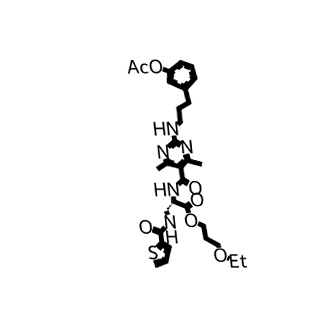 CCOCCCOC(=O)[C@H](CNC(=O)c1cccs1)NC(=O)c1c(C)nc(NCCCc2cccc(OC(C)=O)c2)nc1C